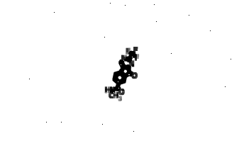 CNC(=O)c1ccc2c(c1)C(=O)c1nc(C(F)(F)F)ncc1-2